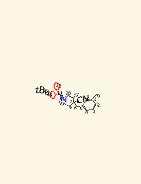 Cc1cccc(CC2(C#N)CCN(C(=O)OC(C)(C)C)CC2)c1